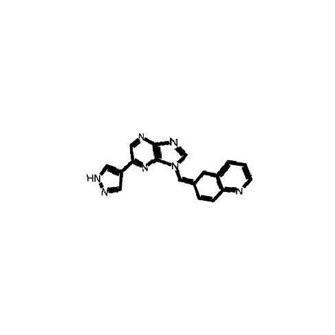 C1=Cc2ncccc2CC1=Cn1cnc2ncc(-c3cn[nH]c3)nc21